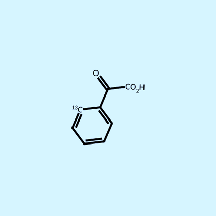 O=C(O)C(=O)c1cccc[13cH]1